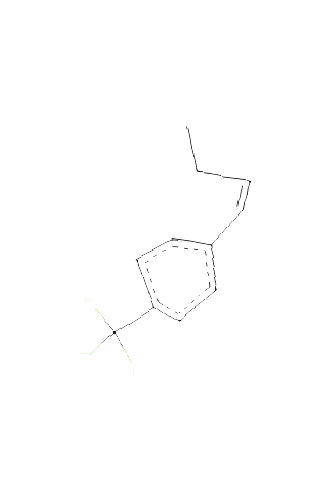 CC/C=C\c1ccc(C(F)(F)F)cc1